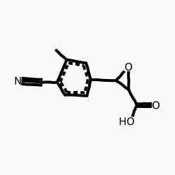 Cc1cc(C2OC2C(=O)O)ccc1C#N